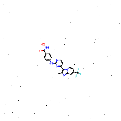 Cc1nc2cc(C(F)(F)F)ccn2c1-c1ccnc(Nc2ccc(C(=O)NO)cc2)n1